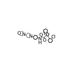 O=C(Nc1ccc(N2CCC(N3CCOCC3)CC2)cc1)C(=O)c1c(-c2ccccc2Cl)cc2ccccn12